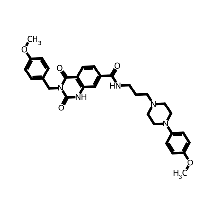 COc1ccc(Cn2c(=O)[nH]c3cc(C(=O)NCCCN4CCN(c5ccc(OC)cc5)CC4)ccc3c2=O)cc1